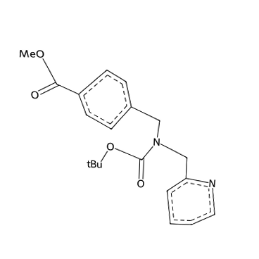 COC(=O)c1ccc(CN(Cc2ccccn2)C(=O)OC(C)(C)C)cc1